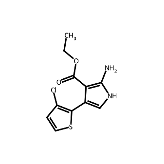 CCOC(=O)c1c(-c2sccc2Cl)c[nH]c1N